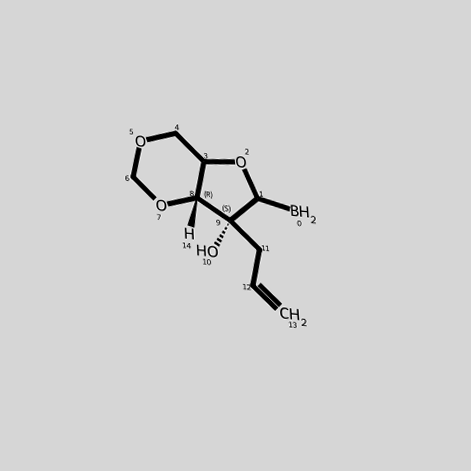 BC1OC2COCO[C@H]2[C@]1(O)CC=C